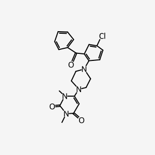 Cn1c(N2CCN(c3ccc(Cl)cc3C(=O)c3ccccc3)CC2)cc(=O)n(C)c1=O